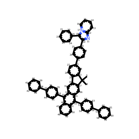 CC1(C)c2cc(-c3ccc(-c4nc5ccccn5c4-c4ccccc4)cc3)ccc2-c2cc3c(-c4ccc(-c5ccccc5)cc4)c4ccccc4c(-c4ccc(-c5ccccc5)cc4)c3cc21